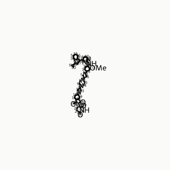 COc1cc(N2CC(N3CCN(C4CN(c5ccc6c(c5)C(=O)N(C5CCC(=O)NC5=O)C6=O)C4)CC3)C2)ccc1Nc1nccc(-c2cn(C3CC3)c3ccccc23)n1